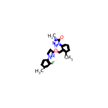 Cc1ccc(-n2ccc(OCc3c(C)cccc3-n3nnn(C)c3=O)n2)c(F)c1